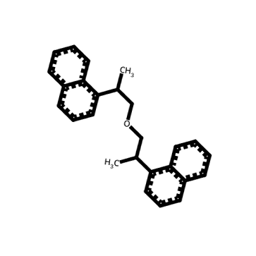 CC(COCC(C)c1cccc2ccccc12)c1cccc2ccccc12